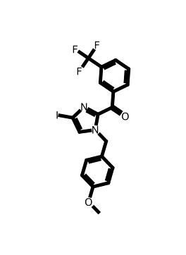 COc1ccc(Cn2cc(I)nc2C(=O)c2cccc(C(F)(F)F)c2)cc1